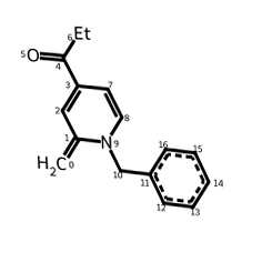 C=C1C=C(C(=O)CC)C=CN1Cc1ccccc1